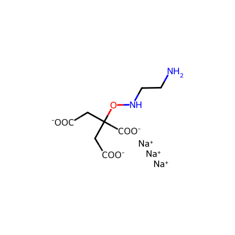 NCCNOC(CC(=O)[O-])(CC(=O)[O-])C(=O)[O-].[Na+].[Na+].[Na+]